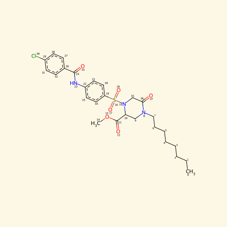 CCCCCCCCN1CC(C(=O)OC)N(S(=O)(=O)c2ccc(NC(=O)c3ccc(Cl)cc3)cc2)CC1=O